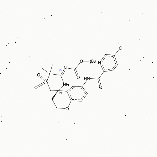 CC(C)(C)OC(=O)/N=C1\N[C@@]2(CCOc3ccc(NC(=O)c4ccc(Cl)cn4)cc32)CS(=O)(=O)C1(C)C